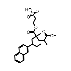 CCC(CC(C)(CC(C)C(=O)O)C(=O)OCCS(=O)(=O)O)c1ccc2ccccc2c1